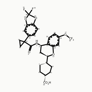 O=C(N[C@@H]1C[C@H]([C@H]2CC[C@@H](C(=O)O)CC2)Oc2cc(OC(F)(F)F)ccc21)C1(c2ccc3c(c2)OC(F)(F)O3)CC1